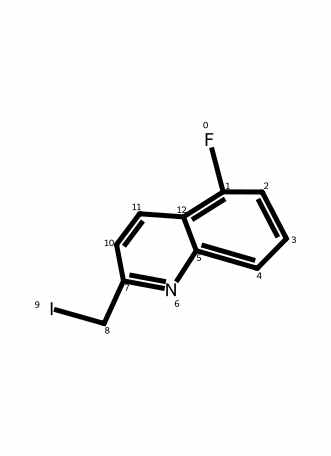 Fc1cccc2nc(CI)ccc12